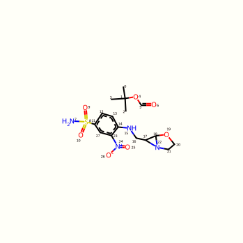 CC(C)(C)OC=O.NS(=O)(=O)c1ccc(NCC2C3OCCN23)c([N+](=O)[O-])c1